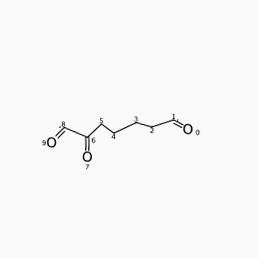 O=[C]CCCCC(=O)[C]=O